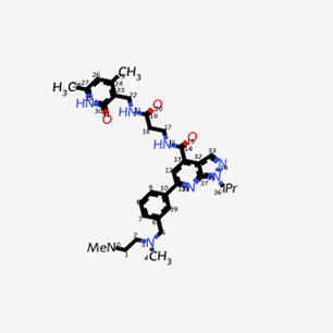 CNCCN(C)Cc1cccc(-c2cc(C(=O)NCCC(=O)NCc3c(C)cc(C)[nH]c3=O)c3cnn(C(C)C)c3n2)c1